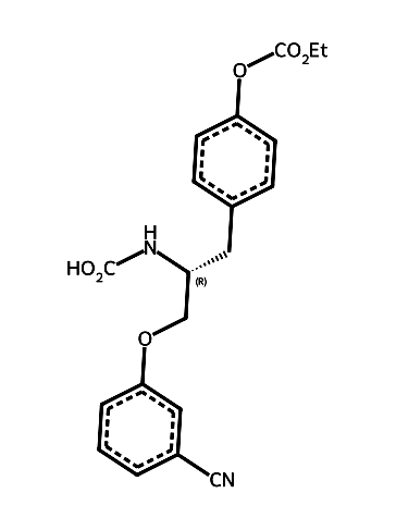 CCOC(=O)Oc1ccc(C[C@H](COc2cccc(C#N)c2)NC(=O)O)cc1